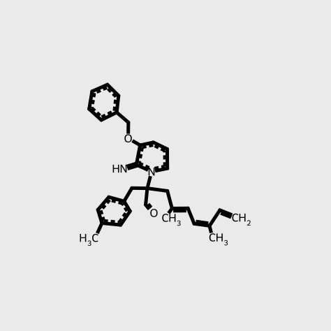 C=C/C(C)=C\C=C(/C)CC(C=O)(Cc1ccc(C)cc1)n1cccc(OCc2ccccc2)c1=N